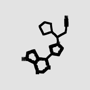 N#CCC(C1CCCC1)n1ccc(-c2ncnc3[nH]ccc23)c1